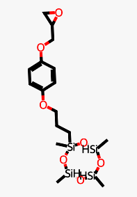 C[SiH]1O[SiH](C)O[Si](C)(CCCOc2ccc(OCC3CO3)cc2)O[SiH](C)O1